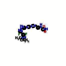 Cc1nc2c(F)cc(-c3nc(Nc4ccc(N5CCC(N6CCN(Cc7cccc(NC8CCC(=O)NC8=O)c7)CC6)CC5)cn4)ncc3F)cc2n1C(C)C